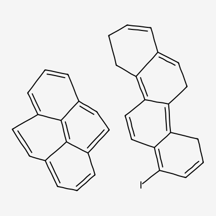 IC1=c2ccc3c(c2CC=C1)CC=C1C=CCCC=31.c1cc2ccc3cccc4ccc(c1)c2c34